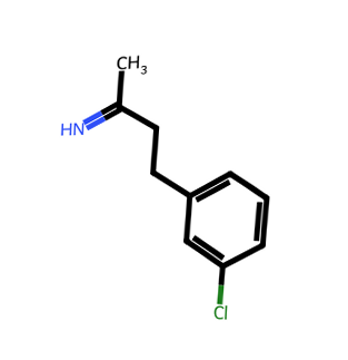 CC(=N)CCc1cccc(Cl)c1